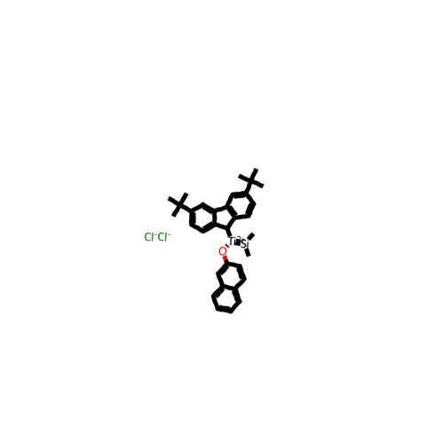 C[Si](C)=[Ti+2]([O]c1ccc2ccccc2c1)[CH]1c2ccc(C(C)(C)C)cc2-c2cc(C(C)(C)C)ccc21.[Cl-].[Cl-]